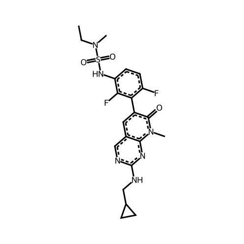 CCN(C)S(=O)(=O)Nc1ccc(F)c(-c2cc3cnc(NCC4CC4)nc3n(C)c2=O)c1F